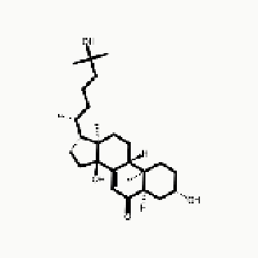 C[C@H](CCCC(C)(C)O)[C@H]1CC[C@@]2(O)C3=CC(=O)[C@@H]4C[C@@H](O)CC[C@]4(C)[C@H]3CC[C@]12C